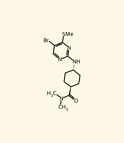 CSc1nc(N[C@H]2CC[C@H](C(=O)N(C)C)CC2)ncc1Br